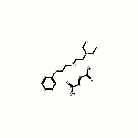 CCN(CC)CCNCCSc1ccccc1.O=C(O)C=CC(=O)O